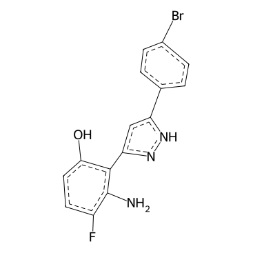 Nc1c(F)ccc(O)c1-c1cc(-c2ccc(Br)cc2)[nH]n1